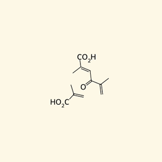 C=C(C)C(=O)C=C(C)C(=O)O.C=C(C)C(=O)O